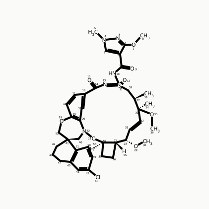 COc1nn(C)cc1C(=O)NS1(=O)=NC(=O)c2ccc3c(c2)N(C[C@@H]2CC[C@H]2[C@@H](OC)/C=C/[C@](C)(OC)[C@H](C)C1)C[C@@]1(CCCc2cc(Cl)ccc21)CO3